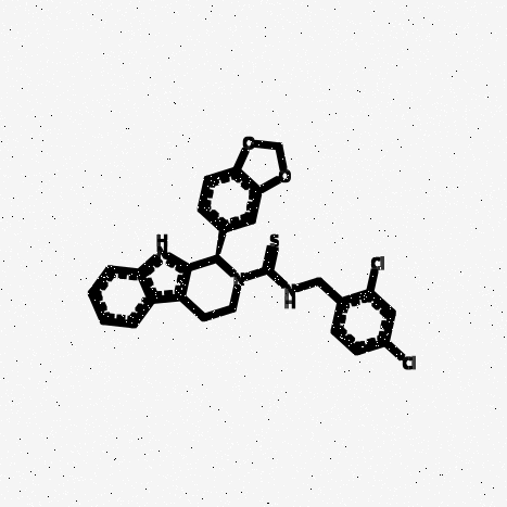 S=C(NCc1ccc(Cl)cc1Cl)N1CCc2c([nH]c3ccccc23)[C@H]1c1ccc2c(c1)OCO2